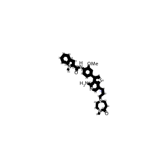 COc1cc(-c2csc3c(/C=C\CN4CCC(=O)N(C)CC4)cnc(N)c23)ccc1NC(=O)c1cc2ccccc2n1C